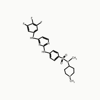 CN1CCC(N(C)S(=O)(=O)c2ccc(Nc3nccc(Nc4cc(F)c(F)c(F)c4)n3)cc2)CC1